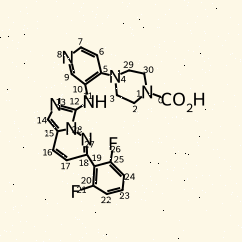 O=C(O)N1CCN(c2ccncc2Nc2ncc3ccc(-c4c(F)cccc4F)nn23)CC1